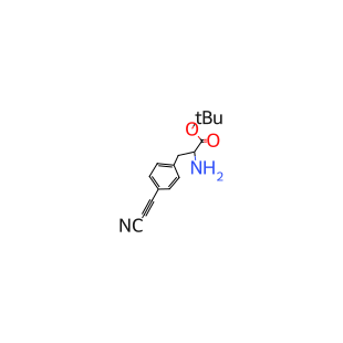 CC(C)(C)OC(=O)C(N)Cc1ccc(C#CC#N)cc1